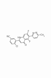 Cc1ccc(-c2c(F)cc3[nH]c(-c4cc(C#N)ccc4Cl)cc(=O)c3c2F)nn1